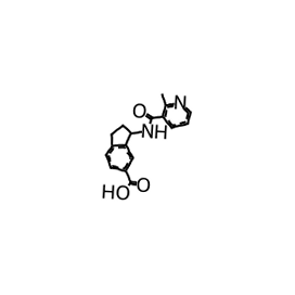 Cc1ncccc1C(=O)NC1CCc2ccc(C(=O)O)cc21